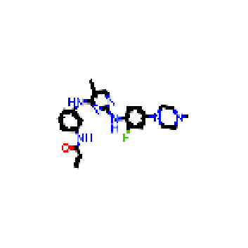 C=CC(=O)Nc1cccc(Nc2nc(Nc3ccc(N4CCN(C)CC4)cc3F)ncc2C)c1